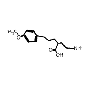 COc1ccc(CCCC(CC[NH])C(=O)O)cc1